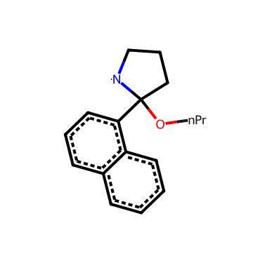 CCCOC1(c2cccc3ccccc23)CCC[N]1